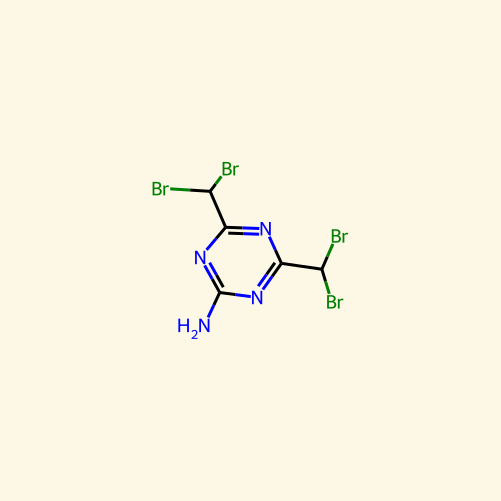 Nc1nc(C(Br)Br)nc(C(Br)Br)n1